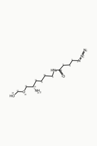 [N-]=[N+]=NCCCC(=O)NCCCC[C@H](N)COCO